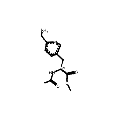 COC(=O)[C@H](Cc1ccc(CN)nc1)NC(C)=O